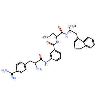 N=C(N)c1ccc(CC(N)C(=O)Nc2cccc(C(=O)N[C@@H](CC(=O)O)C(=O)N[C@@H](Cc3cccc4ccccc34)C(=O)O)c2)cc1